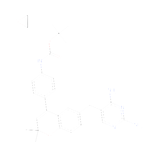 C1CO1.CC(C)(C)OC(=O)Nc1ccc(C2=CC(C)(C)Oc3ccc(Cc4cnc(N)nc4N)cc32)cc1